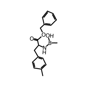 CB(O)NC(Cc1ccc(C)cc1)C(=O)OCc1ccccc1